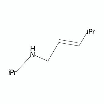 CC(C)C=CCNC(C)C